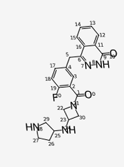 O=C(c1cc(Cc2n[nH]c(=O)c3ccccc23)ccc1F)N1CC(NC2CCNC2)C1